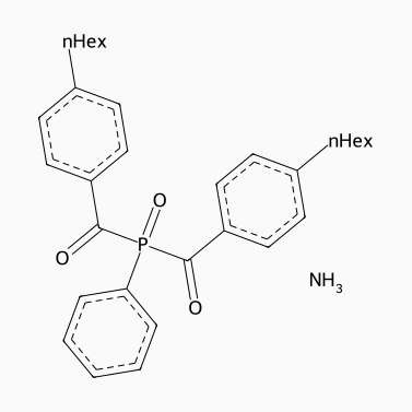 CCCCCCc1ccc(C(=O)P(=O)(C(=O)c2ccc(CCCCCC)cc2)c2ccccc2)cc1.N